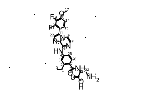 CCc1cc(Nc2nccn3c(-c4ccc(OC)c(F)c4F)cnc23)ccc1C(=O)N[C@H](CN)C(=O)O